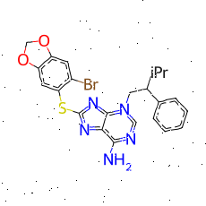 CC(C)C(Cn1cnc(N)c2nc(Sc3cc4c(cc3Br)OCO4)nc1-2)c1ccccc1